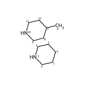 C1CCNCC1.CC1CCNCC1